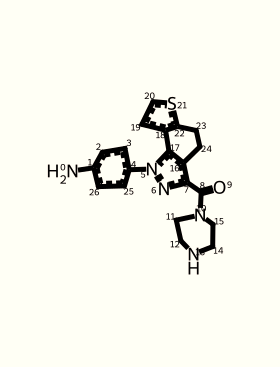 Nc1ccc(-n2nc(C(=O)N3CCNCC3)c3c2-c2ccsc2CC3)cc1